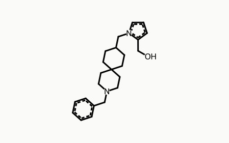 OCc1cccn1CC1CCC2(CC1)CCN(Cc1ccccc1)CC2